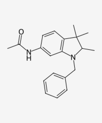 CC(=O)Nc1ccc2c(c1)N(Cc1ccccc1)C(C)C2(C)C